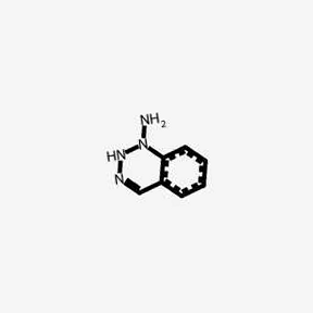 NN1NN=Cc2ccccc21